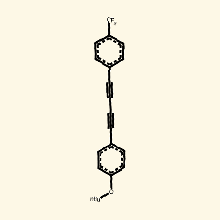 CCCCOc1ccc(C#CC#Cc2ccc(C(F)(F)F)cc2)cc1